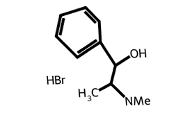 Br.CNC(C)C(O)c1ccccc1